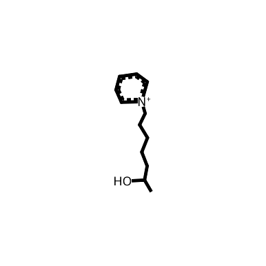 CC(O)CCCCC[n+]1ccccc1